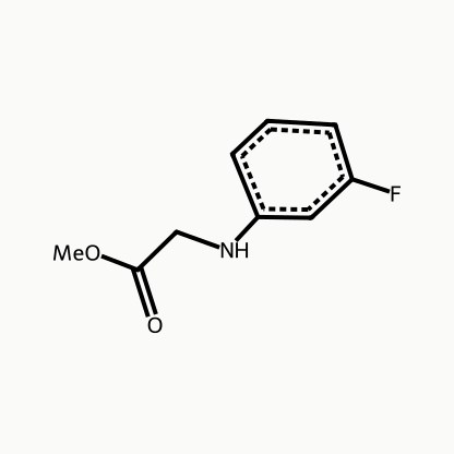 COC(=O)CNc1cccc(F)c1